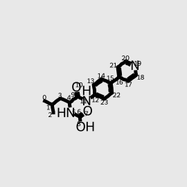 CC(C)CC(NC(=O)O)C(=O)Nc1ccc(-c2ccncc2)cc1